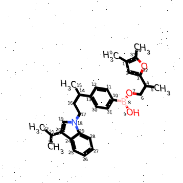 Cc1cc(C(C)COB(O)c2ccc(C(C)CCn3cc(C(C)C)c4ccccc43)cc2)oc1C